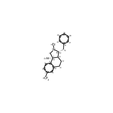 CCN1C[C@@H]2c3ccc(C(F)(F)F)cc3CCC2[C@H]1Cc1ccccc1